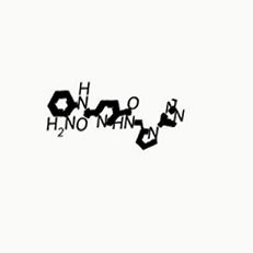 Cn1cc(N2CCC[C@H]2CNC(=O)c2ccc(C(=O)Nc3ccccc3N)nc2)cn1